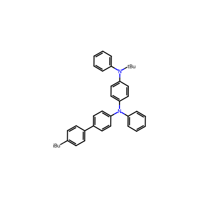 CCC(C)c1ccc(-c2ccc(N(c3ccccc3)c3ccc(N(c4ccccc4)C(C)(C)C)cc3)cc2)cc1